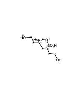 CCCCCCCOS(=O)(=O)O.OCCCCCCCO